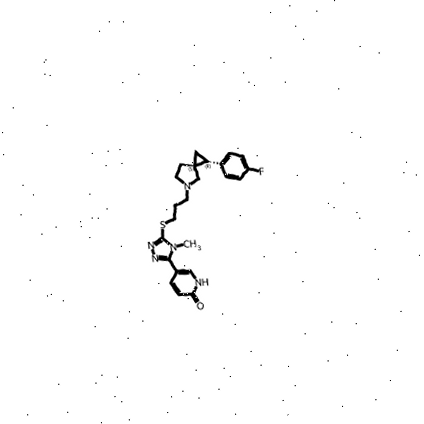 Cn1c(SCCCN2CC[C@]3(C[C@@H]3c3ccc(F)cc3)C2)nnc1-c1ccc(=O)[nH]c1